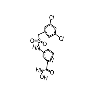 O=C(NO)c1cc(NS(=O)(=O)Cc2cc(Cl)cc(Cl)c2)ccn1